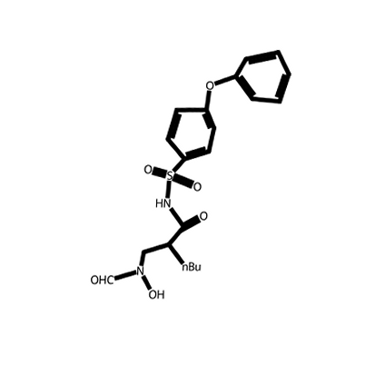 CCCCC(CN(O)C=O)C(=O)NS(=O)(=O)c1ccc(Oc2ccccc2)cc1